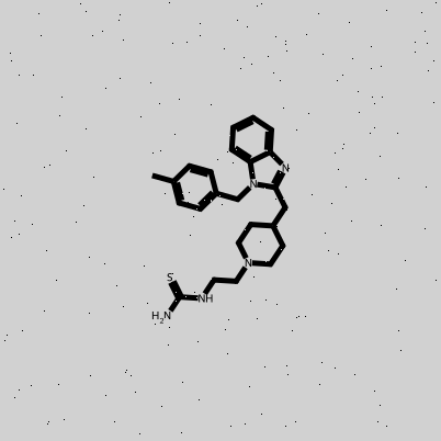 Cc1ccc(Cn2c(CC3CCN(CCNC(N)=S)CC3)nc3ccccc32)cc1